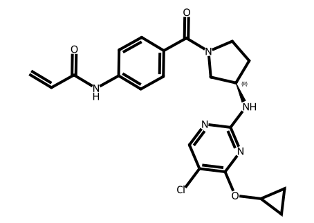 C=CC(=O)Nc1ccc(C(=O)N2CC[C@@H](Nc3ncc(Cl)c(OC4CC4)n3)C2)cc1